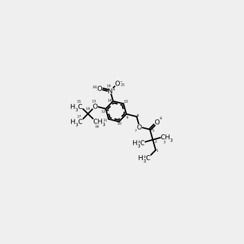 CCC(C)(C)C(=O)OCc1ccc(OC(C)(C)C)c([N+](=O)[O-])c1